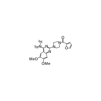 [2H]N([2H])c1nc(N2CCN(C(=O)c3ccco3)CC2)nc2cc(OC)c(OC)cc12